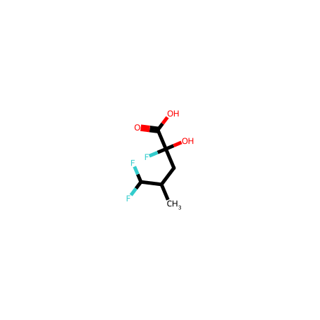 CC(CC(O)(F)C(=O)O)C(F)F